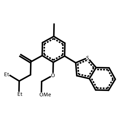 C=C(CC(CC)CC)c1cc(C)cc(-c2cc3ccccc3s2)c1OCOC